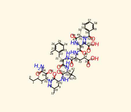 CCCC[C@H](NC(=O)[C@H](CC(C)C)NC(=O)[C@@H](NC(=O)[C@H](Cc1ccccc1C)NC(=O)[C@H](CCC(=O)O)NC(=O)[C@H](CC(=O)O)NC(=O)[C@H](C)NC(=O)c1ccccc1)C(C)(C)C)C(=O)C(N)=O